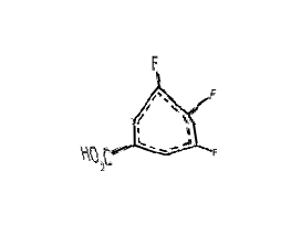 O=C(O)c1[c]c(F)c(F)c(F)c1